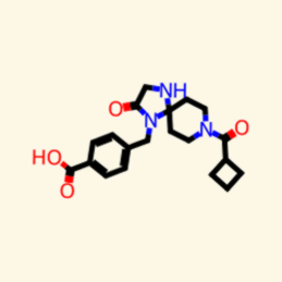 O=C(O)c1ccc(CN2C(=O)CNC23CCN(C(=O)C2CCC2)CC3)cc1